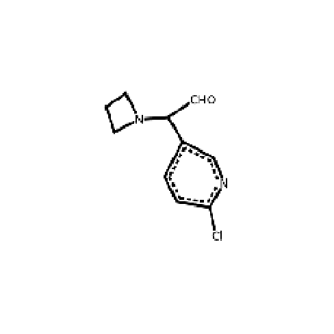 O=CC(c1ccc(Cl)nc1)N1CCC1